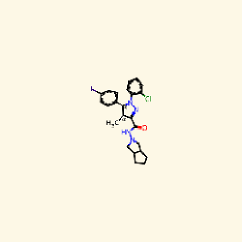 C[C@@H]1C(C(=O)NN2CC3CCCC3C2)=NN(c2ccccc2Cl)[C@@H]1c1ccc(I)cc1